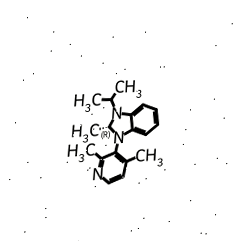 Cc1ccnc(C)c1N1c2ccccc2N(C(C)C)[C@H]1C